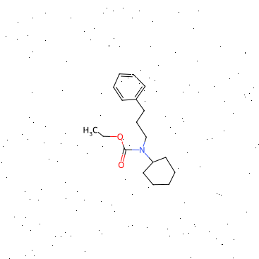 CCOC(=O)N(CCCc1ccccc1)C1CCCCC1